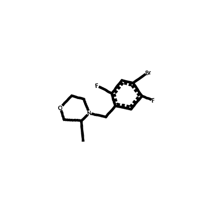 CC1COCCN1Cc1cc(F)c(Br)cc1F